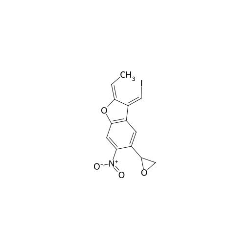 C/C=c1/oc2cc([N+](=O)[O-])c(C3CO3)cc2/c1=C/I